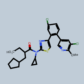 COc1ncc(-c2ccc(Cl)cc2-c2csc(N(C(=O)C(CC(=O)O)CC3CCCC3)C3CC3)n2)cc1Cl